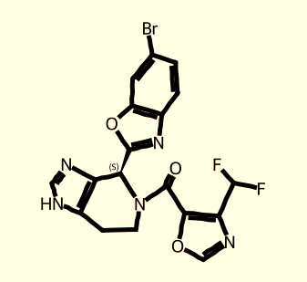 O=C(c1ocnc1C(F)F)N1CCc2[nH]cnc2[C@H]1c1nc2ccc(Br)cc2o1